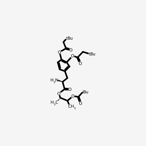 CCC(C)C(=O)OC(C)[C@H](C)OC(=O)[C@@H](N)Cc1ccc(OC(=O)CC(C)(C)C)c(OC(=O)CC(C)(C)C)c1